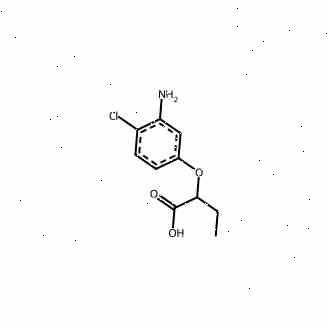 CCC(Oc1ccc(Cl)c(N)c1)C(=O)O